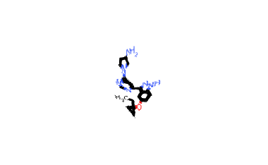 CCC1(Oc2ccc3[nH]nc(-c4cc(N5CC[C@H](N)C5)ncn4)c3c2)CC1